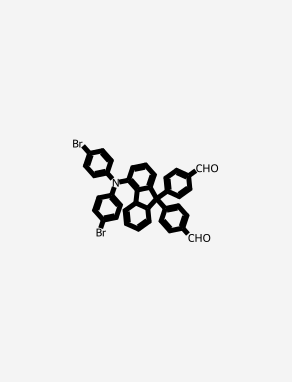 O=Cc1ccc(C2(c3ccc(C=O)cc3)c3cccc(N(c4ccc(Br)cc4)c4ccc(Br)cc4)c3C3C=CC=CC32)cc1